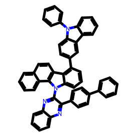 c1ccc(-c2ccc(-c3nc4ccccc4nc3-n3c4cccc(-c5ccc6c(c5)c5ccccc5n6-c5ccccc5)c4c4ccc5ccccc5c43)cc2)cc1